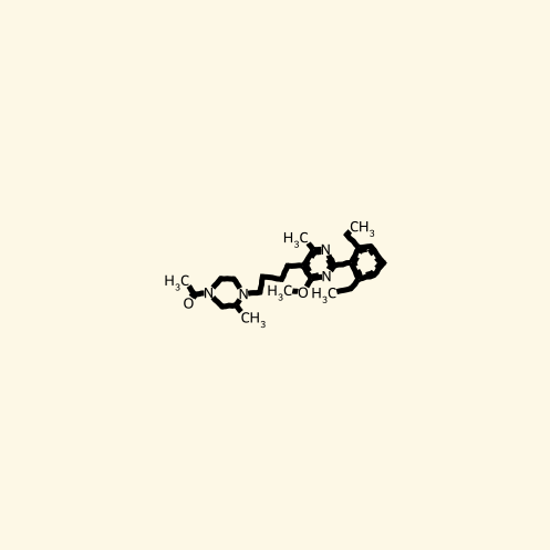 CCc1cccc(CC)c1-c1nc(C)c(CCCCN2CCN(C(C)=O)CC2C)c(OC)n1